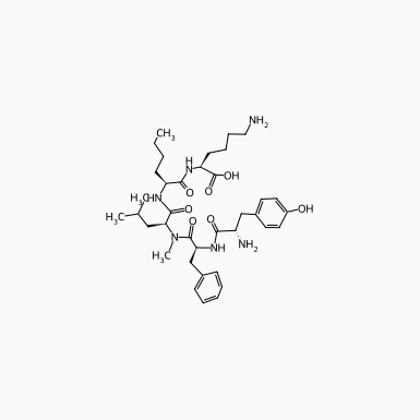 CCCC[C@H](NC(=O)[C@H](CC(C)C)N(C)C(=O)[C@H](Cc1ccccc1)NC(=O)[C@@H](N)Cc1ccc(O)cc1)C(=O)N[C@@H](CCCCN)C(=O)O